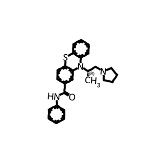 C[C@H](CN1CCCC1)N1c2ccccc2Sc2ccc(C(=O)Nc3ccccc3)cc21